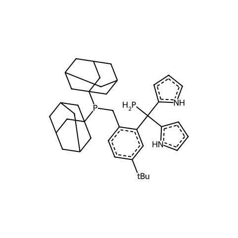 CC(C)(C)c1ccc(CP(C23CC4CC(CC(C4)C2)C3)C23CC4CC(CC(C4)C2)C3)c(C(P)(c2ccc[nH]2)c2ccc[nH]2)c1